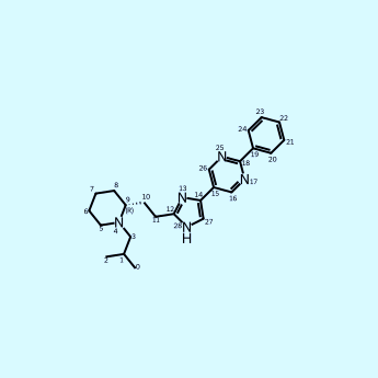 CC(C)CN1CCCC[C@@H]1CCc1nc(-c2cnc(-c3ccccc3)nc2)c[nH]1